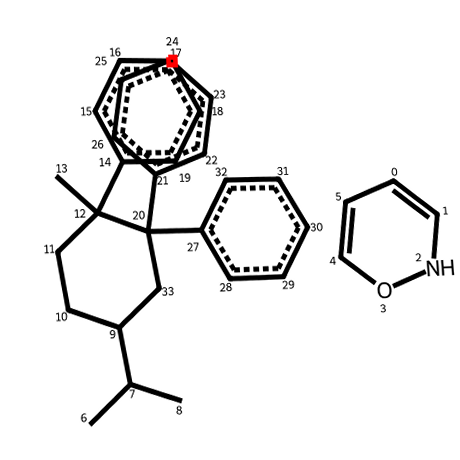 C1=CNOC=C1.CC(C)C1CCC(C)(c2ccccc2)C(c2ccccc2)(c2ccccc2)C1